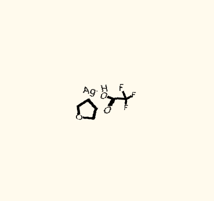 C1CCOC1.O=C(O)C(F)(F)F.[Ag]